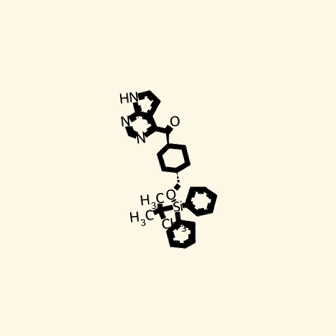 CC(C)(C)[Si](OC[C@H]1CC[C@H](C(=O)c2ncnc3[nH]ccc23)CC1)(c1ccccc1)c1ccccc1